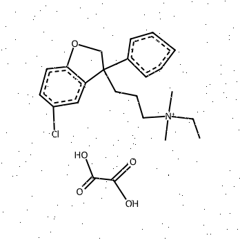 CC[N+](C)(C)CCCC1(c2ccccc2)COc2ccc(Cl)cc21.O=C(O)C(=O)O